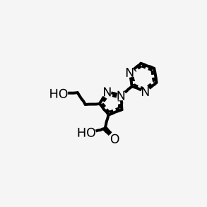 O=C(O)c1cn(-c2ncccn2)nc1CCO